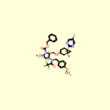 COc1ccc(CN(C(=O)C(F)(F)F)[C@H]2C[C@@H](C)N(C(=O)OCc3ccccc3)[C@H]2CO[C@H]2CC[C@@]3(c4ncc(F)cn4)C[C@H]3C2)cc1